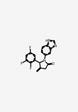 C=C1CC(=O)N(c2ccc3[nH]cnc3c2)C1c1cc(F)cc(F)c1F